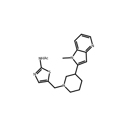 CC(=O)Nc1ncc(CN2CCCC(c3cc4ncccc4n3C)C2)s1